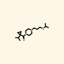 CC(C)OCCCN1CCN(C(=O)C2(C(C)C)CC2)CC1